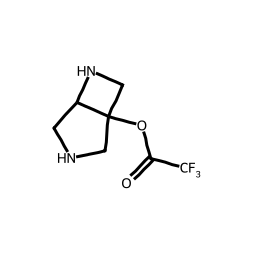 O=C(OC12CNCC1NC2)C(F)(F)F